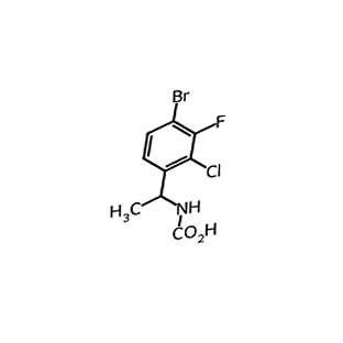 CC(NC(=O)O)c1ccc(Br)c(F)c1Cl